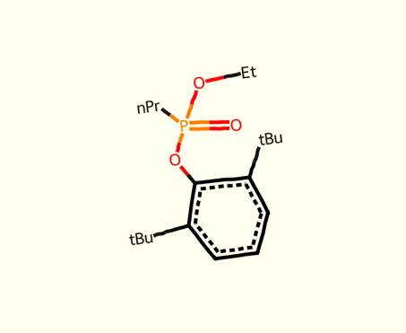 CCCP(=O)(OCC)Oc1c(C(C)(C)C)cccc1C(C)(C)C